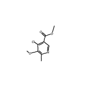 COC(=O)c1cnc(C)c(OC)c1Cl